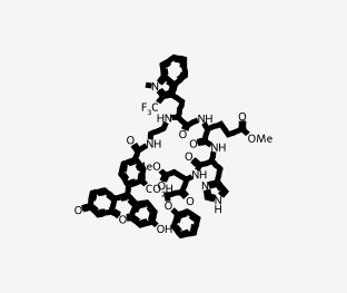 COC(=O)CCC(NC(=O)C(Cc1c(C(F)(F)F)n(C)c2ccccc12)NCCNC(=O)c1ccc(-c2c3ccc(=O)cc-3oc3cc(O)ccc23)c(C(=O)O)c1)C(=O)NC(Cc1c[nH]cn1)C(=O)NC(CC(=O)OC)C(=O)COc1ccccc1